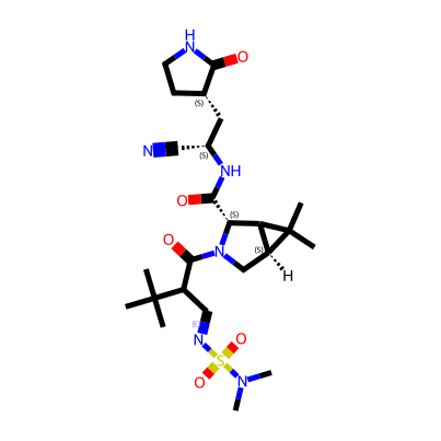 CN(C)S(=O)(=O)/N=C/C(C(=O)N1C[C@H]2C([C@H]1C(=O)N[C@H](C#N)C[C@@H]1CCNC1=O)C2(C)C)C(C)(C)C